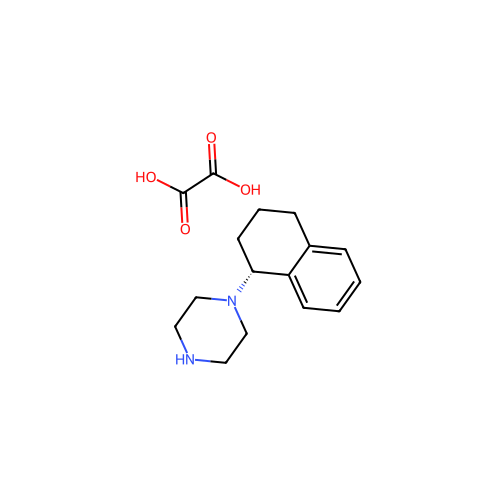 O=C(O)C(=O)O.c1ccc2c(c1)CCC[C@H]2N1CCNCC1